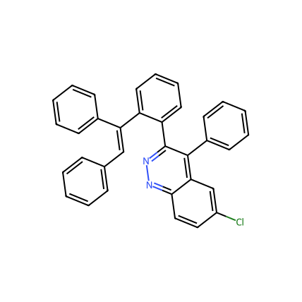 Clc1ccc2nnc(-c3ccccc3C(=Cc3ccccc3)c3ccccc3)c(-c3ccccc3)c2c1